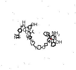 Cc1ncsc1-c1ccc([C@H](C)NC(=O)[C@@H]2C[C@@H](O)CN2C(=O)[C@@H](c2cc(N3CCC(CN4CCC(O[C@H]5C[C@H](n6cc(CN7C8CCC7CN(c7cc(-c9ccccc9O)nnc7N)C8)cn6)C5)CC4)CC3)no2)C(C)C)cc1